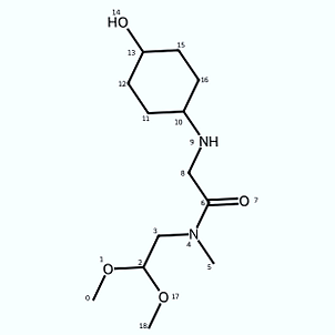 COC(CN(C)C(=O)CNC1CCC(O)CC1)OC